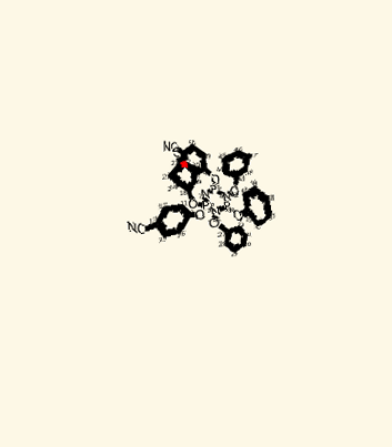 N#Cc1ccc(OP2N=P(Oc3ccc(C#N)cc3)(Oc3ccc(C#N)cc3)N(Oc3ccccc3)P(Oc3ccccc3)N2Oc2ccccc2)cc1